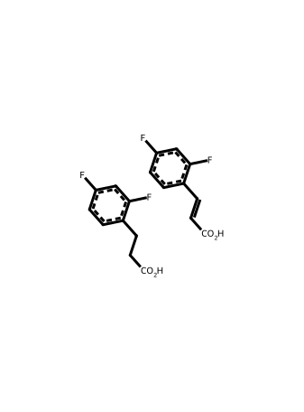 O=C(O)/C=C/c1ccc(F)cc1F.O=C(O)CCc1ccc(F)cc1F